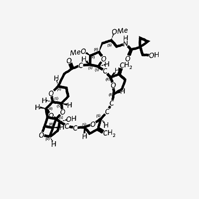 C=C1C[C@@H]2CC[C@@]3(O)C[C@H]4OC5C6C(O[C@H]7CC[C@H](CC(=O)C[C@@H]8[C@@H](OC)[C@@H](C[C@@H](CNC(=O)C9(CO)CC9)OC)O[C@H]8C[C@H]8O[C@H](CCC8=C)CC[C@@H]1O2)O[C@@H]7[C@@H]6O3)[C@@H]54